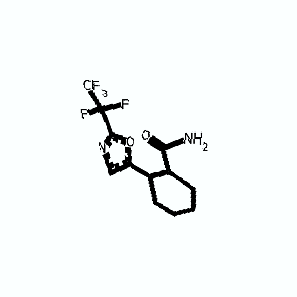 NC(=O)C1CCCCC1c1cnc(C(F)(F)C(F)(F)F)o1